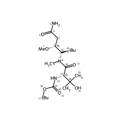 CC[C@H](C)[C@@H]([C@@H](CC(N)=O)OC)N(C)C(=O)[C@@H](NC(=O)OC(C)(C)C)C(C)(C)O